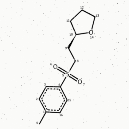 Cc1ccc(S(=O)(=O)CC[C@H]2CCCO2)cc1